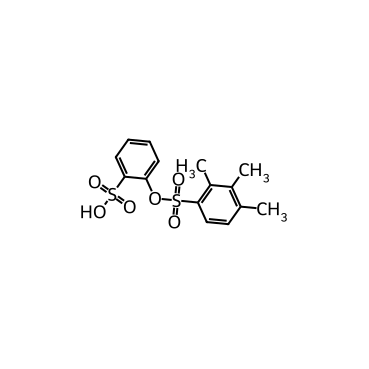 Cc1ccc(S(=O)(=O)Oc2ccccc2S(=O)(=O)O)c(C)c1C